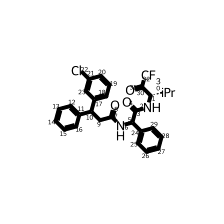 CC(C)[C@H](NC(=O)C(NC(=O)CC(c1ccccc1)c1cccc(Cl)c1)c1ccccc1)C(=O)C(F)(F)F